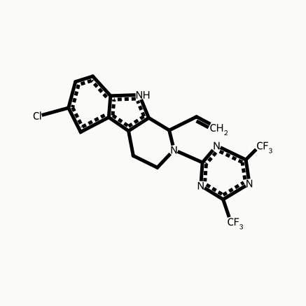 C=CC1c2[nH]c3ccc(Cl)cc3c2CCN1c1nc(C(F)(F)F)nc(C(F)(F)F)n1